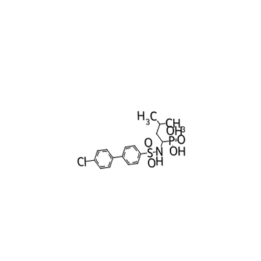 CC(C)CC(NS(=O)(=O)c1ccc(-c2ccc(Cl)cc2)cc1)P(=O)(O)O